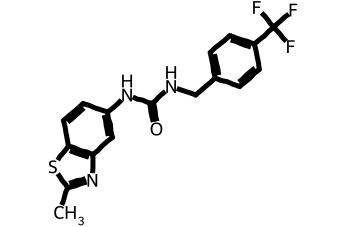 Cc1nc2cc(NC(=O)NCc3ccc(C(F)(F)F)cc3)ccc2s1